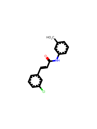 O=C(/C=C/c1cccc(Cl)c1)Nc1cccc(C(=O)O)c1